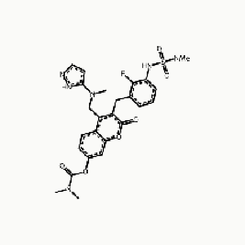 CNS(=O)(=O)Nc1cccc(Cc2c(CN(C)c3ccn[nH]3)c3ccc(OC(=O)N(C)C)cc3oc2=O)c1F